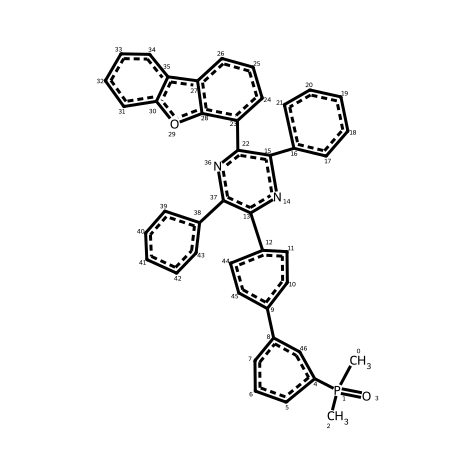 CP(C)(=O)c1cccc(-c2ccc(-c3nc(-c4ccccc4)c(-c4cccc5c4oc4ccccc45)nc3-c3ccccc3)cc2)c1